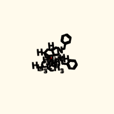 CC(=O)N1C[C@@H]2C[C@H]3CN(Cc4ccccc4)[C@@H]([C@@H]2CC(C)C)[C@]31C(=O)NCc1ccccc1